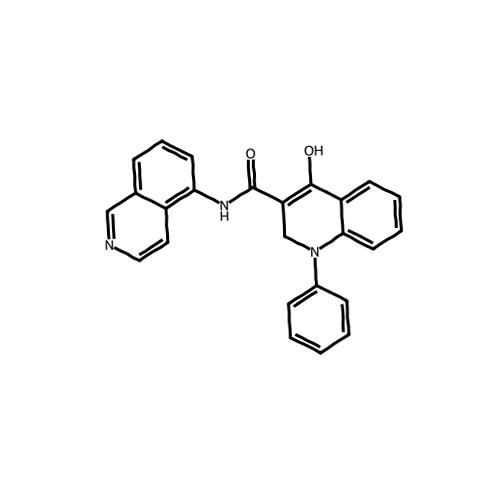 O=C(Nc1cccc2cnccc12)C1=C(O)c2ccccc2N(c2ccccc2)C1